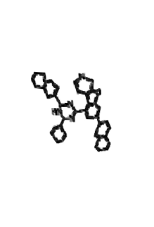 c1ccc(C2N=C(c3cc(-c4ccc5ccccc5c4)cc4oc5cnccc5c34)N=C(c3ccc4ccccc4c3)N2)cc1